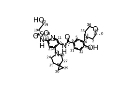 C[C@@H]1CN(c2cc(C(=O)Nc3cnc(NS(=O)(=O)CCO)cc3N3CCC4(CC3)CC4)ccc2O)CCO1